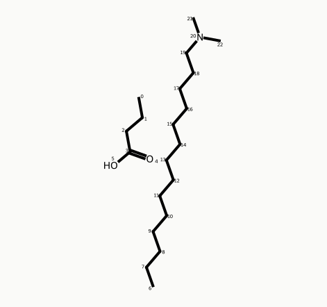 CCCC(=O)O.CCCCCCCCCCCCCCN(C)C